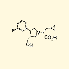 O=C(O)[C@@H](CC1CC1)N1C[C@H](CO)[C@@H](c2cccc(F)c2)C1